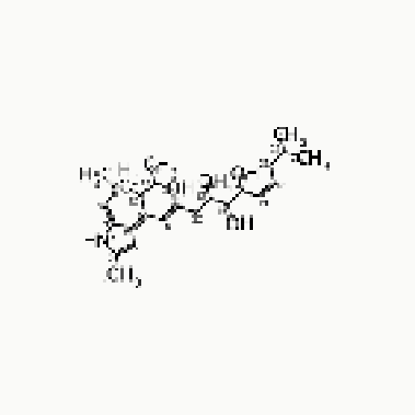 CC/C=c1/[nH]c(C)c/c1=C(\C=C\CC(O)C(O)C(O)/C=C\CC(C)C)C(C)C(C)O